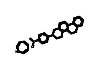 C1=CC=CNC=C1.C[S+]([O-])c1ccc(C2CCc3c(ccc4c3CCc3ccccc3-4)C2)cc1